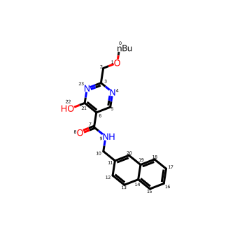 CCCCOCc1ncc(C(=O)NCc2ccc3ccccc3c2)c(O)n1